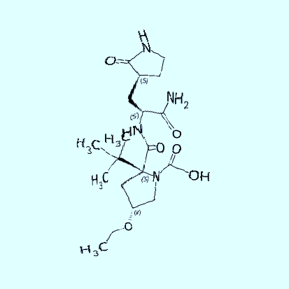 CCO[C@H]1CN(C(=O)O)[C@](C(=O)N[C@@H](C[C@@H]2CCNC2=O)C(N)=O)(C(C)(C)C)C1